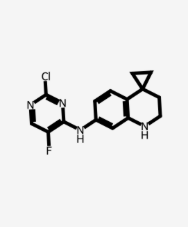 Fc1cnc(Cl)nc1Nc1ccc2c(c1)NCCC21CC1